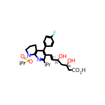 CC(C)c1nc2c(c(-c3ccc(F)cc3)c1/C=C/[C@@H](O)C[C@@H](O)CC(=O)O)CCCN2S(=O)(=O)C(C)C